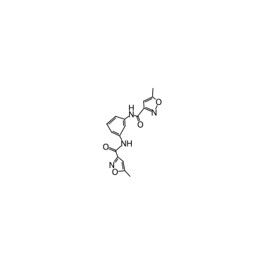 Cc1cc(C(=O)Nc2cccc(NC(=O)c3cc(C)on3)c2)no1